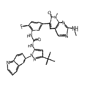 CNc1ncc2cc(-c3ccc(F)c(NC(=O)Nc4cc(C(C)(C)C)nn4-c4ccc5ncccc5c4)c3)c(=O)n(C)c2n1